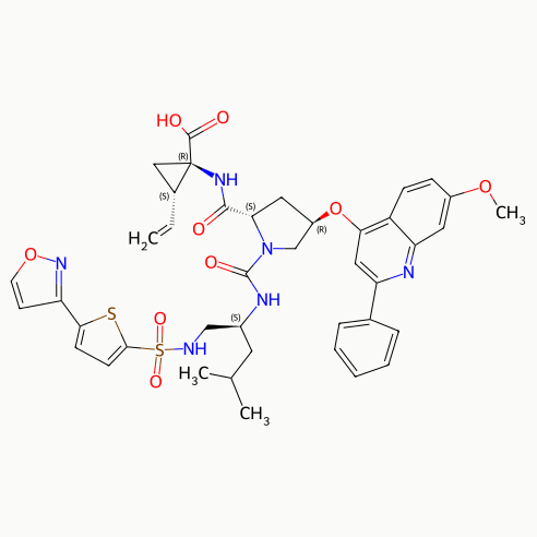 C=C[C@@H]1C[C@]1(NC(=O)[C@@H]1C[C@@H](Oc2cc(-c3ccccc3)nc3cc(OC)ccc23)CN1C(=O)N[C@H](CNS(=O)(=O)c1ccc(-c2ccon2)s1)CC(C)C)C(=O)O